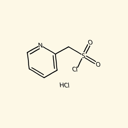 Cl.O=S(=O)(Cl)Cc1ccccn1